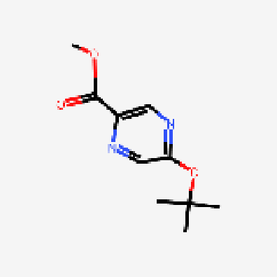 COC(=O)c1cnc(OC(C)(C)C)cn1